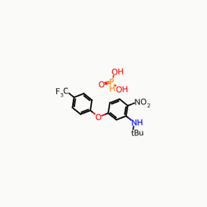 CC(C)(C)Nc1cc(Oc2ccc(C(F)(F)F)cc2)ccc1[N+](=O)[O-].O=[PH](O)O